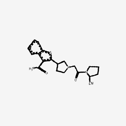 N#CC1CCCN1C(=O)CN1CCC(c2sc3ccccc3c2C(N)=O)C1